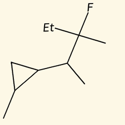 CCC(C)(F)C(C)C1CC1C